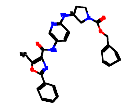 O=C(Nc1ccc(N[C@H]2CCN(C(=O)OCc3ccccc3)C2)nc1)c1nc(-c2ccccc2)oc1C(F)(F)F